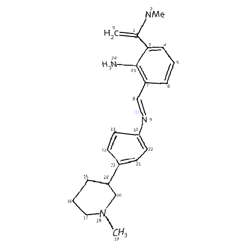 C=C(NC)c1cccc(/C=N/c2ccc(C3CCCN(C)C3)cc2)c1N